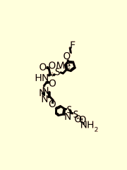 COC(=O)[C@@H](CSCc1cccc(OCCF)c1)NC(=O)Cn1cc(COc2ccc3nc(SOON)sc3c2)nn1